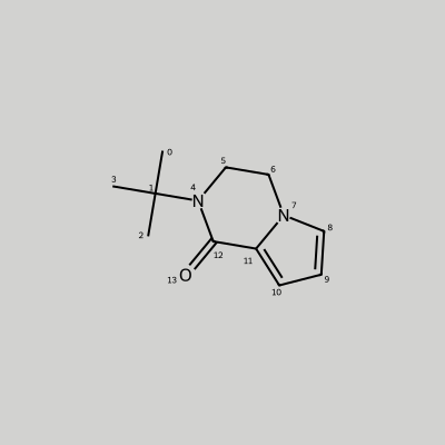 CC(C)(C)N1CCn2cccc2C1=O